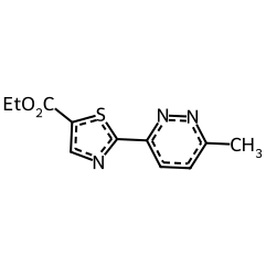 CCOC(=O)c1cnc(-c2ccc(C)nn2)s1